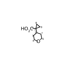 O=C(O)C1(C2CCOCC2)CC1